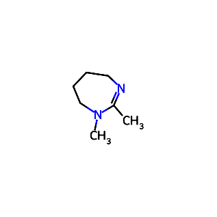 CC1=NCCCCN1C